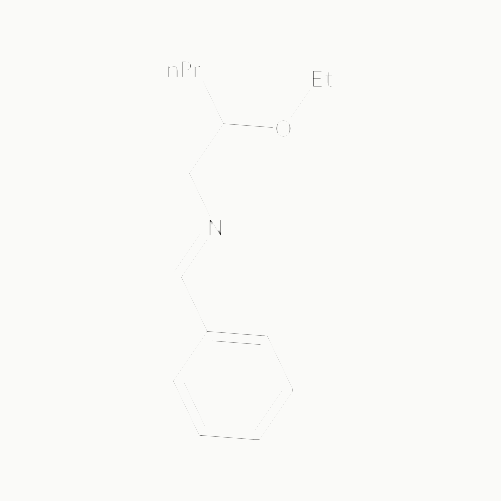 C[CH]CC(CN=Cc1ccccc1)OCC